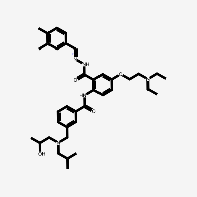 CCN(CC)CCOc1ccc(NC(=O)c2cccc(CN(CC(C)C)CC(C)O)c2)c(C(=O)N/N=C/c2ccc(C)c(C)c2)c1